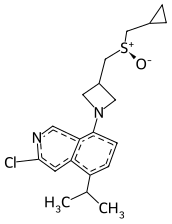 CC(C)c1ccc(N2CC(C[S@+]([O-])CC3CC3)C2)c2cnc(Cl)cc12